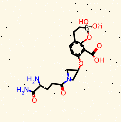 NC(=O)C(N)CCC(=O)N1CC(Oc2ccc3c(c2C(=O)O)O[B-](O)(O)CC3)C1